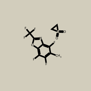 Cc1c(F)c(F)c2oc(C(F)(F)F)nc2c1F.O=S1(=O)CC1